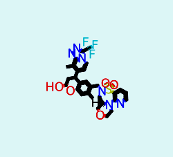 Cc1ccc(C(CC(=O)O)c2ccn3c(C(F)(F)F)nnc3c2C)cc1CN1C[C@H]2COCCN2c2ncccc2S1(=O)=O